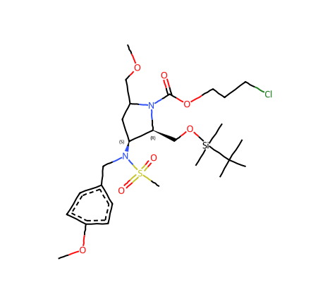 COCC1C[C@H](N(Cc2ccc(OC)cc2)S(C)(=O)=O)[C@H](CO[Si](C)(C)C(C)(C)C)N1C(=O)OCCCCl